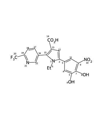 CCn1c(-c2cc(O)c(O)c([N+](=O)[O-])c2)cc(C(=O)O)c1-c1ccc(C(F)(F)F)nc1